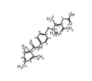 C=C(C)/C(CC(=O)O)=C(/C)N(N)Cc1ccc(NC(=O)c2c(C)cc(C)cc2C)cc1